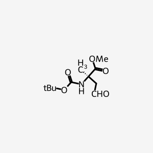 COC(=O)[C@@](C)(CC=O)NC(=O)OC(C)(C)C